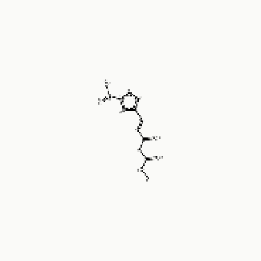 COC(=O)CC(=O)C=Cc1ccc([N+](=O)[O-])s1